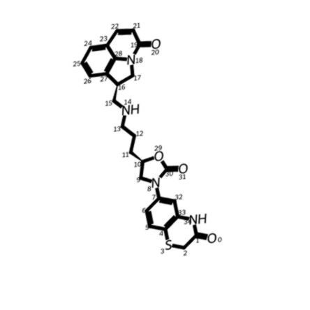 O=C1CSc2ccc(N3C[C@@H](CCCNC[C@@H]4Cn5c(=O)ccc6cccc4c65)OC3=O)cc2N1